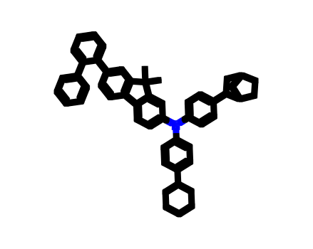 CC1(C)c2cc(-c3ccccc3-c3ccccc3)ccc2-c2ccc(N(c3ccc(C4CCCCC4)cc3)c3ccc(C4CC5CCC4C5)cc3)cc21